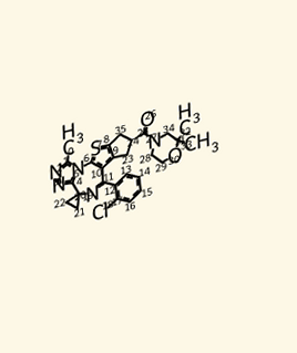 Cc1nnc2n1-c1sc3c(c1C(c1ccccc1Cl)=NC21CC1)C[C@H](C(=O)N1CCOC(C)(C)C1)C3